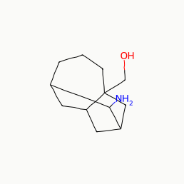 NC1C2CCCC3(CO)CC1CC3C2